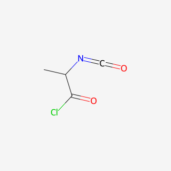 CC(N=C=O)C(=O)Cl